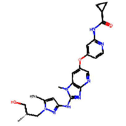 C[C@H](CO)Cn1nc(Nc2nc3ncc(Oc4ccnc(NC(=O)C5CC5)c4)cc3n2C)cc1C(C)(C)C